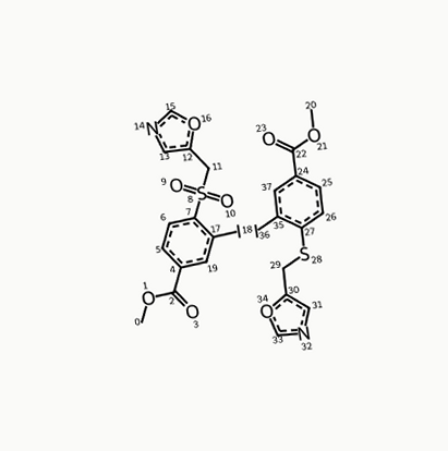 COC(=O)c1ccc(S(=O)(=O)Cc2cnco2)c(I)c1.COC(=O)c1ccc(SCc2cnco2)c(I)c1